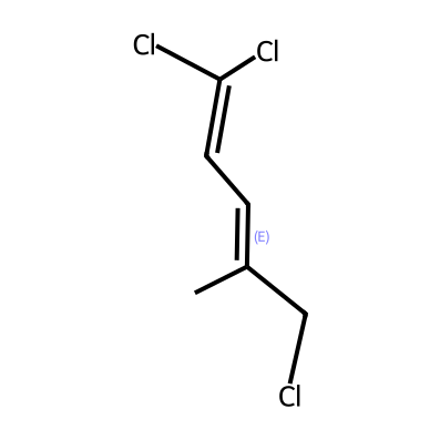 C/C(=C\C=C(Cl)Cl)CCl